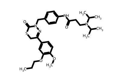 CCCOc1cc(C2=NN(Cc3ccc(NC(=O)CCN(C(C)C)C(C)C)cc3)C(=O)SC2)ccc1OC